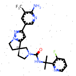 CC(C)(NC(=O)N1CC[C@]2(CCn3nc(-c4cnc(N)c(C(F)(F)F)c4)cc32)C1)c1ncccc1F